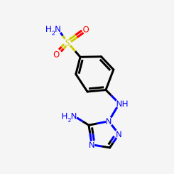 Nc1ncnn1Nc1ccc(S(N)(=O)=O)cc1